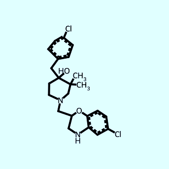 CC1(C)CN(CC2CNc3cc(Cl)ccc3O2)CCC1(O)Cc1ccc(Cl)cc1